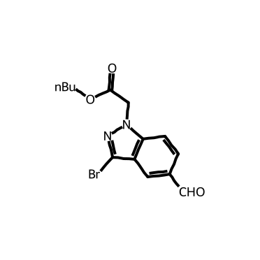 CCCCOC(=O)Cn1nc(Br)c2cc(C=O)ccc21